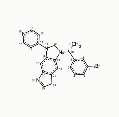 C[C@H](c1cccc(Br)c1)N1CN(c2ccncc2)c2cc3c(cc21)CC=N3